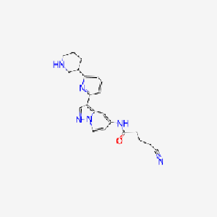 N#CCCCC(=O)Nc1ccn2ncc(-c3cccc(C4CCCNC4)n3)c2c1